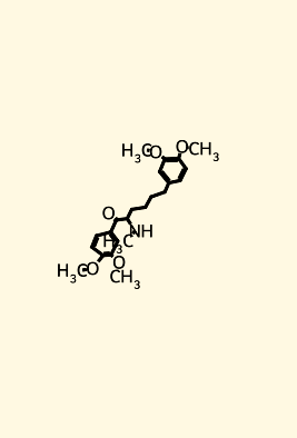 CNC(CCCCc1ccc(OC)c(OC)c1)C(=O)c1ccc(OC)c(OC)c1